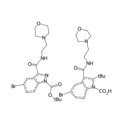 CC(C)(C)OC(=O)n1nc(C(=O)NCCN2CCOCC2)c2cc(Br)ccc21.CC(C)(C)c1c(C(=O)NCCN2CCOCC2)c2cc(Br)ccc2n1C(=O)O